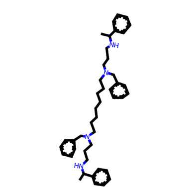 CC(NCCCN(CCCCCCCCN(CCCNC(C)c1ccccc1)Cc1ccccc1)Cc1ccccc1)c1ccccc1